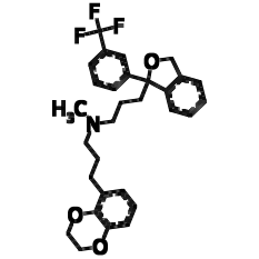 CN(CCCc1cccc2c1OCCO2)CCCC1(c2cccc(C(F)(F)F)c2)OCc2ccccc21